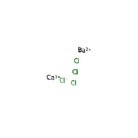 [Ba+2].[Ca+2].[Cl-].[Cl-].[Cl-].[Cl-]